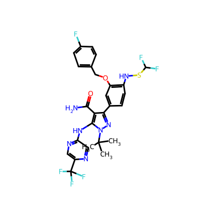 CC(C)(C)n1nc(-c2ccc(NSC(F)F)c(OCc3ccc(F)cc3)c2)c(C(N)=O)c1Nc1cnc(C(F)(F)F)cn1